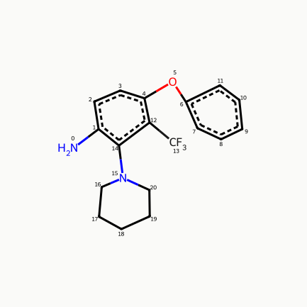 Nc1ccc(Oc2ccccc2)c(C(F)(F)F)c1N1CCCCC1